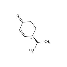 CC(C)[C@H]1C=CC(=O)CC1